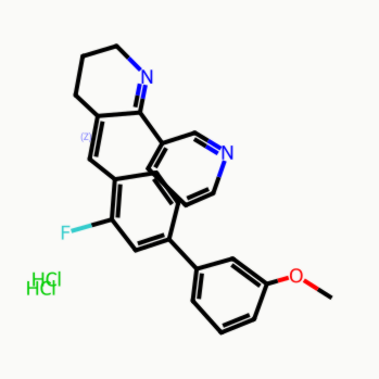 COc1cccc(-c2ccc(/C=C3/CCCN=C3c3cccnc3)c(F)c2)c1.Cl.Cl